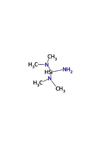 CN(C)[SiH](N)N(C)C